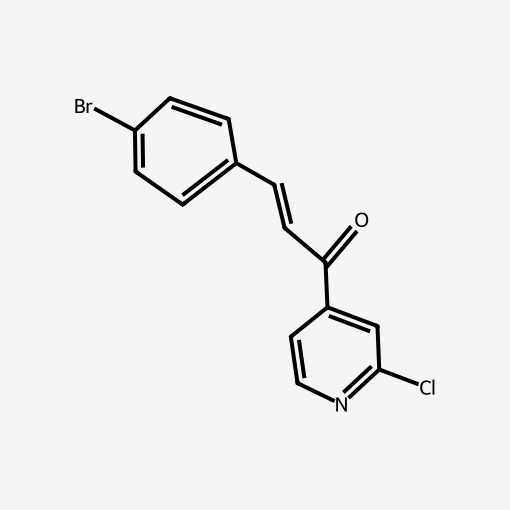 O=C(C=Cc1ccc(Br)cc1)c1ccnc(Cl)c1